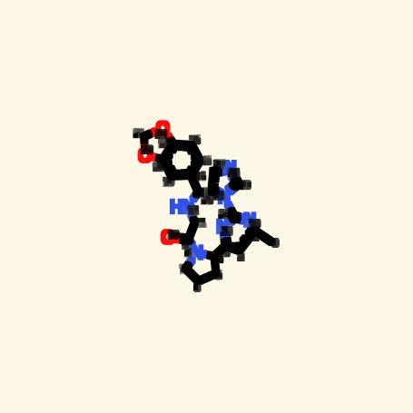 Cc1cc(C2CCCN2C(=O)CNCc2ccc3c(c2)OCO3)nc(-n2ccnc2)n1